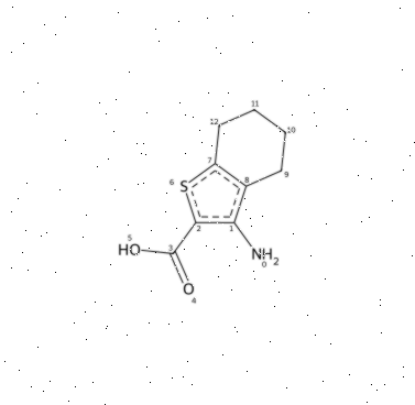 Nc1c(C(=O)O)sc2c1CCCC2